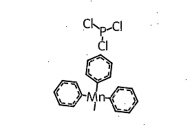 ClP(Cl)Cl.[CH3][Mn]([c]1ccccc1)([c]1ccccc1)[c]1ccccc1